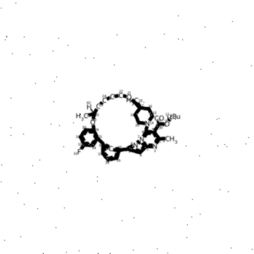 Cc1nc2cc3nn2c(c1[C@H](OC(C)(C)C)C(=O)O)N1CCC(C)(CC1)OCCCC[C@H](C)Oc1ccc(F)cc1-c1cccc-3c1